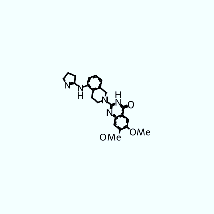 COc1cc2nc(N3CCc4c(cccc4NC4=NCCC4)C3)[nH]c(=O)c2cc1OC